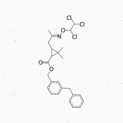 CC(CC1C(C(=O)OCc2cccc(Cc3ccccc3)c2)C1(C)C)=NOC(Cl)C(Cl)Cl